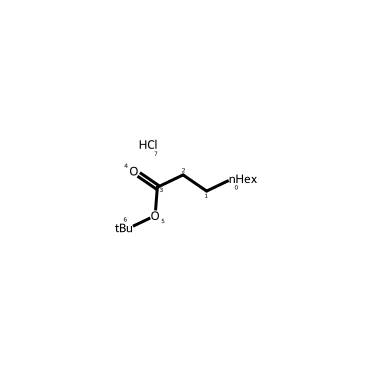 CCCCCCCCC(=O)OC(C)(C)C.Cl